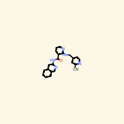 N#Cc1cc(CNc2ncccc2C(=O)Nc2cc3ccccc3cn2)ccn1